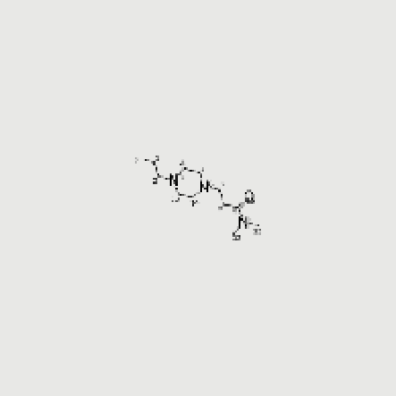 CCCN1CCN(CCC(=O)N(C)C)CC1